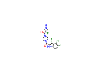 O=C(c1[nH]c2ccc(F)c(Cl)c2c1F)N1CCN(C(=O)C2(F)CNC2)CC1